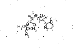 Cc1nccnc1-c1cc([C@@H]2CCN2C(=O)OC(C)(C)C)on1